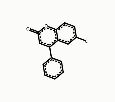 O=c1cc(-c2ccccc2)c2cc(Cl)ccc2o1